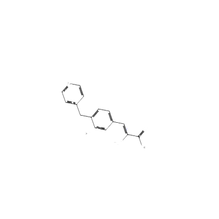 C/C(=C\c1ccc(Cc2ccncc2)cc1)C(=O)O.Cl